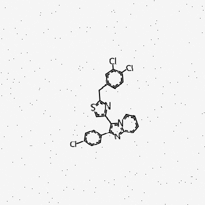 Clc1ccc(-c2nc3ccccn3c2-c2csc(Cc3ccc(Cl)c(Cl)c3)n2)cc1